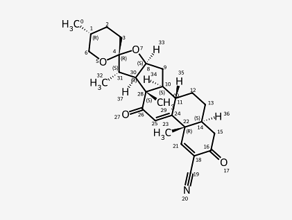 C[C@@H]1CC[C@@]2(OC1)O[C@H]1C[C@H]3[C@@H]4CC[C@H]5CC(=O)C(C#N)=C[C@]5(C)C4=CC(=O)[C@]3(C)[C@H]1[C@@H]2C